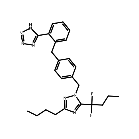 CCCCc1nc(C(F)(F)CCC)n(Cc2ccc(Cc3ccccc3-c3nnn[nH]3)cc2)n1